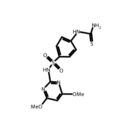 COc1cc(OC)nc(NS(=O)(=O)c2ccc(NC(N)=S)cc2)n1